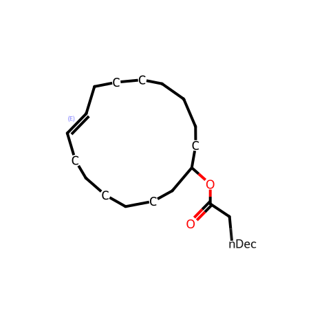 CCCCCCCCCCCC(=O)OC1CCCCCC/C=C/CCCCCCC1